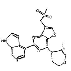 C[C@@H]1COCCN1c1nc(-c2cncc3[nH]ccc23)nc2c(CS(C)(=O)=O)csc12